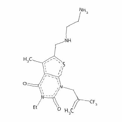 C=C(Cn1c(=O)n(CC)c(=O)c2c(C)c(CNCCN)sc21)C(F)(F)F